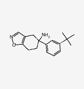 CC(C)(C)c1cccc(C2(N)CCc3oncc3C2)c1